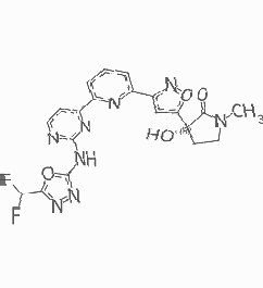 CN1CC[C@@](O)(c2cc(-c3cccc(-c4ccnc(Nc5nnc(C(F)F)o5)n4)n3)no2)C1=O